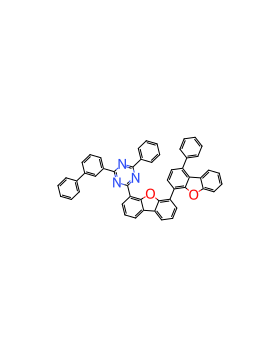 c1ccc(-c2cccc(-c3nc(-c4ccccc4)nc(-c4cccc5c4oc4c(-c6ccc(-c7ccccc7)c7c6oc6ccccc67)cccc45)n3)c2)cc1